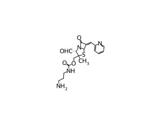 CC1(COC(=O)NCCCN)SC2/C(=C\c3ccccn3)C(=O)N2[C@H]1C=O